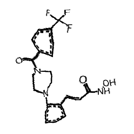 O=C(/C=C/c1ccccc1N1CCN(C(=O)c2ccc(C(F)(F)F)cc2)CC1)NO